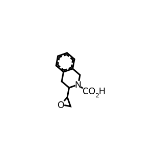 O=C(O)N1Cc2ccccc2CC1C1CO1